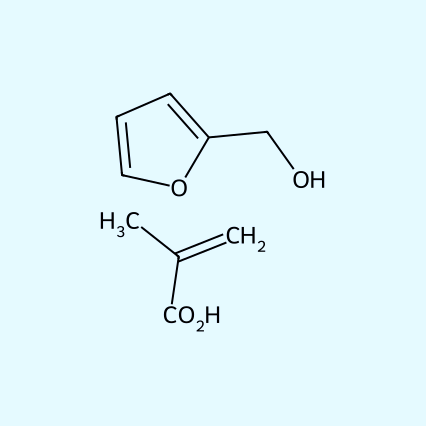 C=C(C)C(=O)O.OCc1ccco1